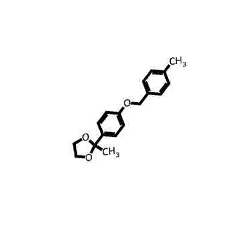 Cc1ccc(COc2ccc(C3(C)OCCO3)cc2)cc1